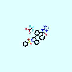 CN1C(=O)C(c2ccccc2)(c2cccc(-c3cn(S(=O)(=O)c4ccccc4)c4ccccc34)c2)N=C1N.O=C(O)C(F)(F)F